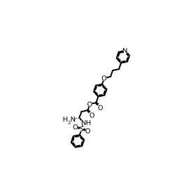 N[C@H](CC(=O)OC(=O)c1ccc(OCCCc2ccncc2)cc1)NS(=O)(=O)c1ccccc1